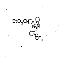 CCOC(=O)N1CCC(c2ccccc2)(c2nnn(Cc3ccccc3OC(F)(F)F)n2)CC1